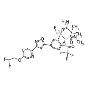 CN=[S@]1(=O)C(OC(=O)C(F)(F)F)[C@@](CF)(c2cc(-c3cc(-c4cnc(OCC(F)F)cn4)no3)ccc2F)N=C(N)C1(C)C